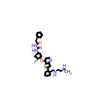 CNCCNCc1ccccc1-c1cc2nccc(Oc3ccc(NC(=S)NC(=O)Cc4ccccc4)cc3F)c2s1